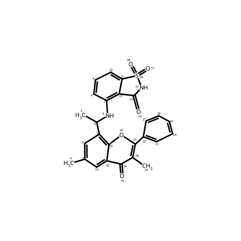 Cc1cc(C(C)Nc2cccc3c2C(=O)NS3(=O)=O)c2oc(-c3ccccc3)c(C)c(=O)c2c1